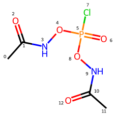 CC(=O)NOP(=O)(Cl)ONC(C)=O